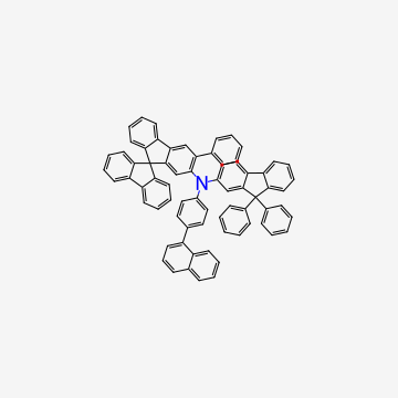 c1ccc(-c2cc3c(cc2N(c2ccc(-c4cccc5ccccc45)cc2)c2ccc4c(c2)C(c2ccccc2)(c2ccccc2)c2ccccc2-4)C2(c4ccccc4-c4ccccc42)c2ccccc2-3)cc1